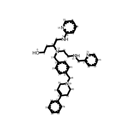 OCCC(CNc1ccccn1)N(CCNCc1ccccn1)Cc1ccc(CN2CC=C(c3ccccc3)CC2)cc1